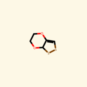 C1=C2OCCOC2SS1